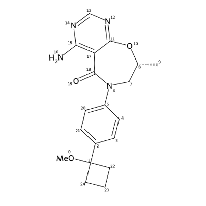 COC1(c2ccc(N3C[C@@H](C)Oc4ncnc(N)c4C3=O)cc2)CCC1